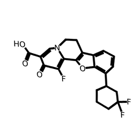 O=C(O)c1cn2c(c(F)c1=O)-c1oc3c(C4CCCC(F)(F)C4)cccc3c1CC2